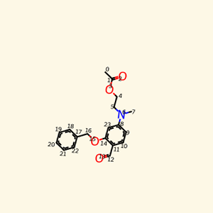 CC(=O)OCCN(C)c1ccc(C=O)c(OCc2ccccc2)c1